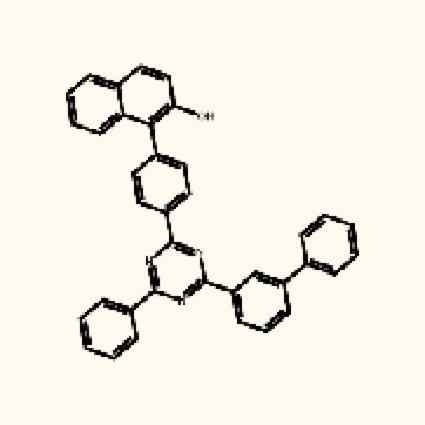 Oc1ccc2ccccc2c1-c1ccc(-c2nc(-c3ccccc3)nc(-c3cccc(-c4ccccc4)c3)n2)cc1